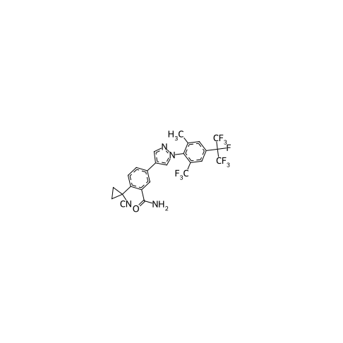 Cc1cc(C(F)(C(F)(F)F)C(F)(F)F)cc(C(F)(F)F)c1-n1cc(-c2ccc(C3(C#N)CC3)c(C(N)=O)c2)cn1